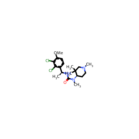 COc1ccc([C@H](C)NC(=O)N(C)[C@@H]2CCN(C)CC2(C)C)c(Cl)c1Cl